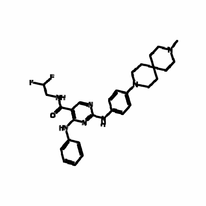 CN1CCC2(CC1)CCN(c1ccc(Nc3ncc(C(=O)NCC(F)F)c(Nc4ccccc4)n3)cc1)CC2